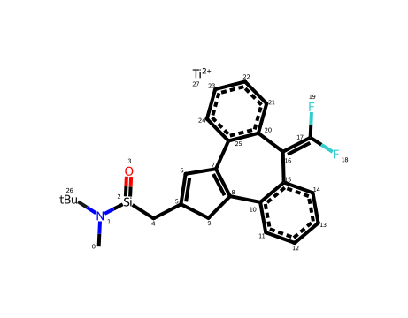 CN([Si](=O)CC1=CC2=C(C1)c1ccccc1C(=C(F)F)c1ccccc12)C(C)(C)C.[Ti+2]